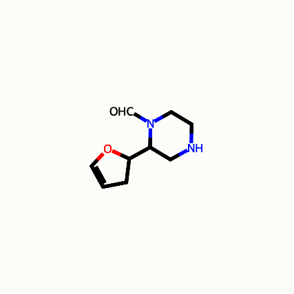 O=CN1CCNCC1C1CC=CO1